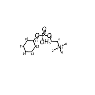 C[N+](C)(C)CCOP(=O)(O)OC1CCCCC1